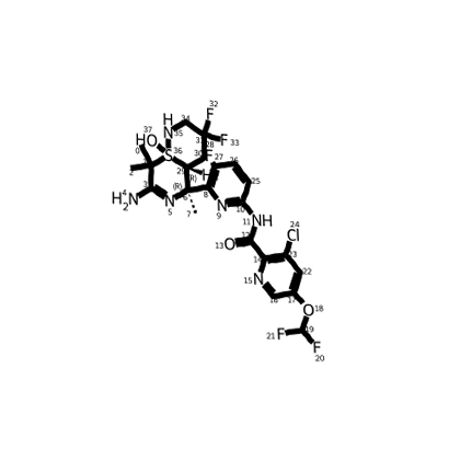 CC1(C)C(N)=N[C@](C)(c2nc(NC(=O)c3ncc(OC(F)F)cc3Cl)ccc2F)[C@H]2CC(F)(F)CNS21O